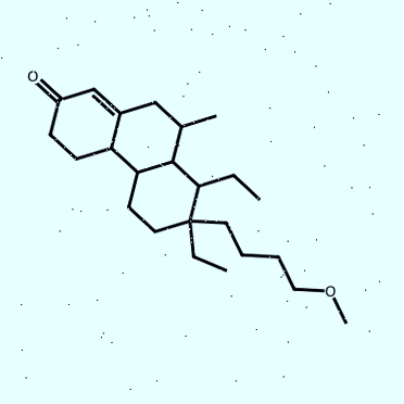 CCC1C2C(C)CC3=CC(=O)CCC3C2CCC1(CC)CCCCOC